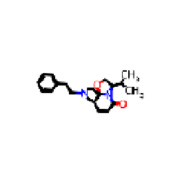 CC(C)C1COC23CCN(CCc4ccccc4)CC2CCC(=O)N13